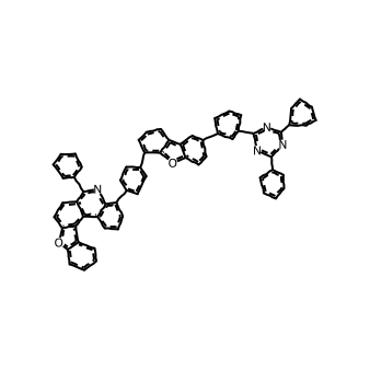 c1ccc(-c2nc(-c3ccccc3)nc(-c3cccc(-c4ccc5oc6c(-c7ccc(-c8cccc9c8nc(-c8ccccc8)c8ccc%10oc%11ccccc%11c%10c89)cc7)cccc6c5c4)c3)n2)cc1